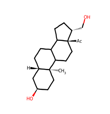 CC(=O)[C@@]12CCC3C(CC[C@H]4C[C@H](O)CC[C@]34C)C1CC[C@@H]2CO